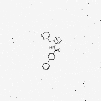 O=C(NC1C2CCN(CC2)C1Cc1cccnc1)c1ccc(-c2ccccc2)cc1